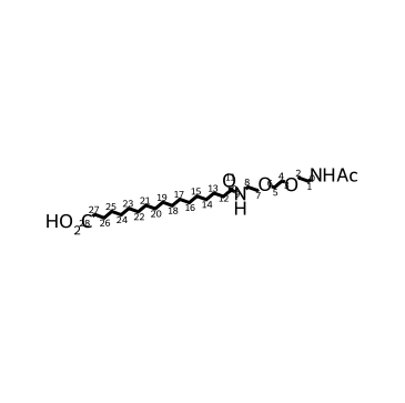 CC(=O)NCCOCCOCCNC(=O)CCCCCCCCCCCCCCCCC(=O)O